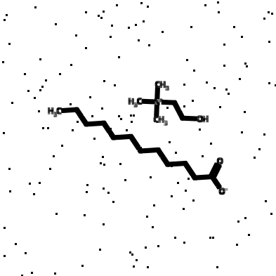 CCCCCCCCCCCC(=O)[O-].C[N+](C)(C)CCO